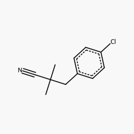 CC(C)(C#N)Cc1ccc(Cl)cc1